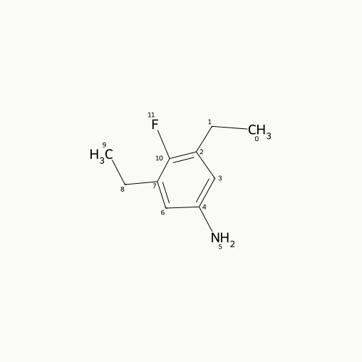 CCc1cc(N)cc(CC)c1F